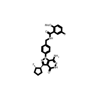 COc1ccc(F)cc1C(=O)NCc1ccc(-n2nc([C@H]3CCC[C@@H]3F)c3c(=O)[nH]nc(N)c32)cc1